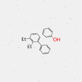 CCc1cccc(-c2ccccc2)c1CC.Oc1ccccc1